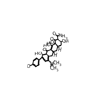 CN(C)c1cc(-c2ccc(Cl)cc2)c(O)c2c1C[C@H]1C[C@H]3CC(O)C(C(N)=O)C(=O)[C@@]3(O)C(O)=C1C2=O